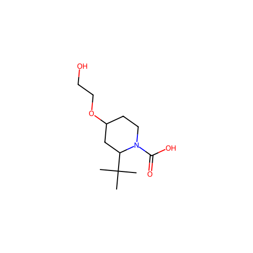 CC(C)(C)C1CC(OCCO)CCN1C(=O)O